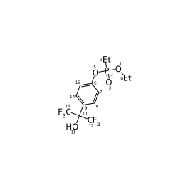 CCOP(=O)(CC)Oc1ccc(C(O)(C(F)(F)F)C(F)(F)F)cc1